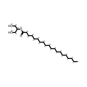 CCCCCCCCCCCCCCCCCCCC(=O)OC(CO)CO